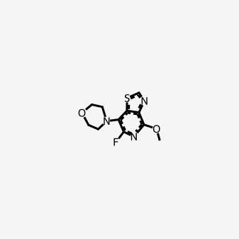 COc1nc(F)c(N2CCOCC2)c2scnc12